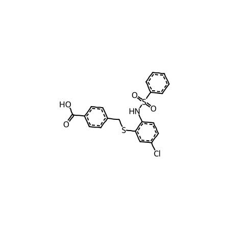 O=C(O)c1ccc(CSc2cc(Cl)ccc2NS(=O)(=O)c2ccccc2)cc1